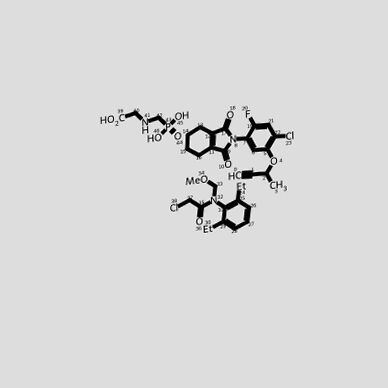 C#CC(C)Oc1cc(N2C(=O)C3=C(CCCC3)C2=O)c(F)cc1Cl.CCc1cccc(CC)c1N(COC)C(=O)CCl.O=C(O)CNCP(=O)(O)O